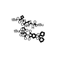 CC(C)(C)OC(=O)Nc1nc(/C(=N/OC2(C(=O)OC(C)(C)C)CCC2)C(=O)N[C@H]2CON(C3(C(=O)OC(C)(C)C)C[C@H](N4C(=O)c5cc6c(cc5C4=O)OC(c4ccccc4)(c4ccccc4)O6)C(=O)O3)C2=O)cs1